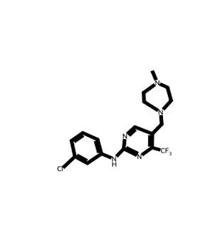 CN1CCN(Cc2cnc(Nc3cccc(Cl)c3)nc2C(F)(F)F)CC1